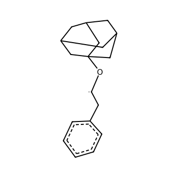 [CH](Cc1ccccc1)OC12CC3CC(CC(C3)C1)C2